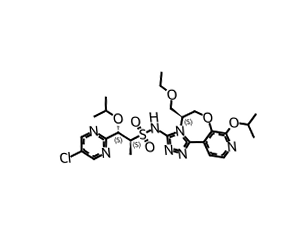 CCOC[C@H]1COc2c(ccnc2OC(C)C)-c2nnc(NS(=O)(=O)[C@@H](C)[C@@H](OC(C)C)c3ncc(Cl)cn3)n21